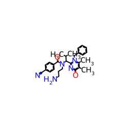 Cc1c(C)n(Cc2ccccc2)c(C(C(C)C)N(CCCN)C(=O)c2ccc(C#N)cc2)nc1=O